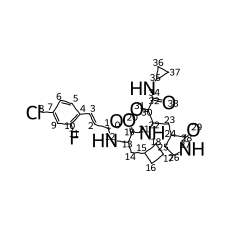 O=C(/C=C/c1ccc(Cl)cc1F)NC(CC1CCC1)C(=O)NC(CC1CCNC1=O)C(=O)C(=O)NC1CC1